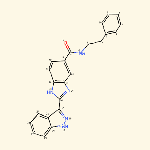 O=C(NCCc1ccccc1)c1ccc2[nH]c(-c3n[nH]c4ccccc34)nc2c1